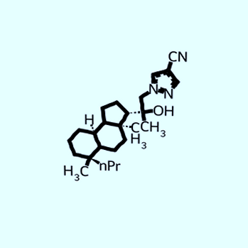 CCC[C@@]1(C)CCC[C@@H]2C1CC[C@@]1(C)C2CC[C@@H]1C(C)(O)Cn1cc(C#N)cn1